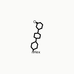 CCCCCCC1CCC(C2CCC(C3CCCC(=O)C3)CC2)CC1